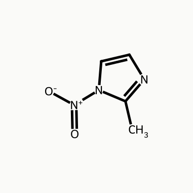 Cc1nccn1[N+](=O)[O-]